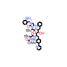 COC(=O)NC(C(=O)NC(Cc1ccc(-c2ccccn2)cc1)CC(O)C(Cc1ccccc1)NC(=O)C(N1CCN(Cc2ccccc2N)C1=O)C(C)(C)C)C(C)(C)C